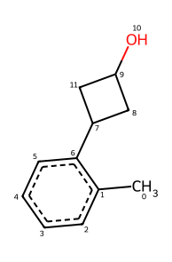 Cc1ccccc1C1CC(O)C1